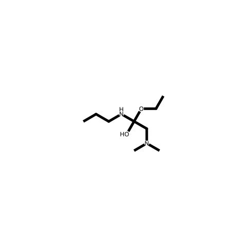 CCCNC(O)(CN(C)C)OCC